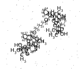 CC(C(=O)N[C@H]1CCS[C@H]2CC(C)(C)[C@@H](C(=O)NC(COCCCCCCOCC(NC(=O)[C@H]3N4C(=O)[C@@H](NC(=O)C(C)N(C)C(=O)O)CCS[C@H]4CC3(C)C)c3ccccc3)c3ccccc3)N2C1=O)N(C)C(=O)O